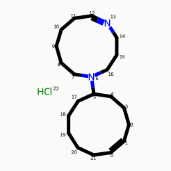 C1=CCCCC(N2CCCCCC=NCCC2)CCCCC1.Cl